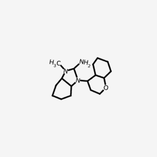 CN1C2CCCCC2N(C2CCOC3CCCCC32)C1N